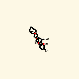 COc1ccc(CCN2C3CCC2CN(CCCNc2ccc(C#N)cc2)C3)cc1OC